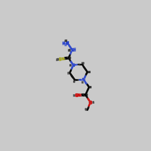 COC(=O)CN1CCN(C(=S)NN)CC1